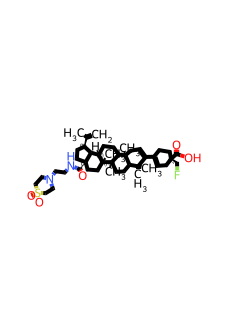 C=C(C)[C@@H]1CC[C@]2(C(=O)NCCN3CCS(=O)(=O)CC3)CC[C@]3(C)[C@H](CCC4[C@@]5(C)CC=C(C6=CC[C@@](CF)(C(=O)O)CC6)C(C)(C)C5CC[C@]43C)C12